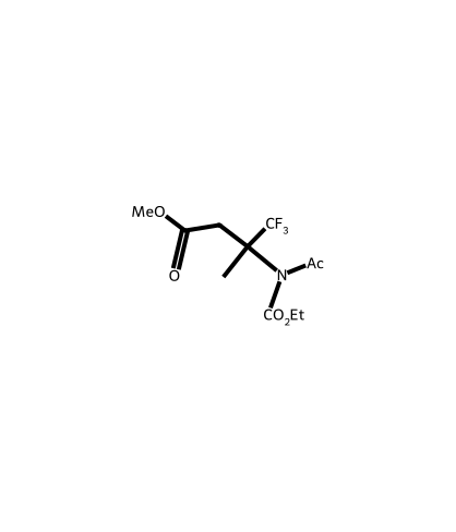 CCOC(=O)N(C(C)=O)C(C)(CC(=O)OC)C(F)(F)F